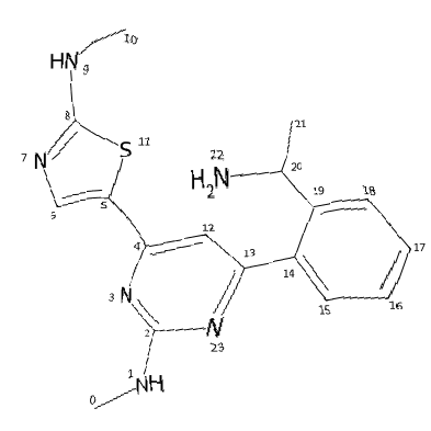 CNc1nc(-c2cnc(NC)s2)cc(-c2ccccc2C(C)N)n1